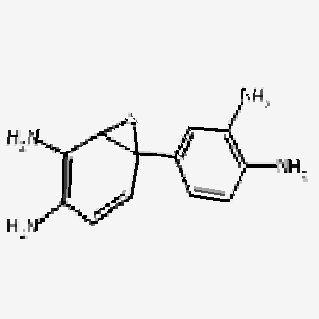 NC1=C(N)C2SC2(c2ccc(N)c(N)c2)C=C1